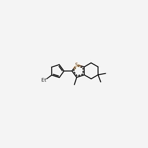 CCC1=CC(c2sc3c(c2C)CC(C)(C)CC3)=CC1